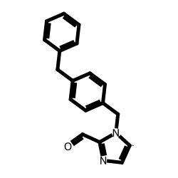 O=Cc1nc[c]n1Cc1ccc(Cc2ccccc2)cc1